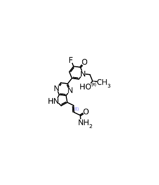 C[C@@H](O)Cn1cc(-c2cnc3[nH]cc(/C=C/C(N)=O)c3n2)cc(F)c1=O